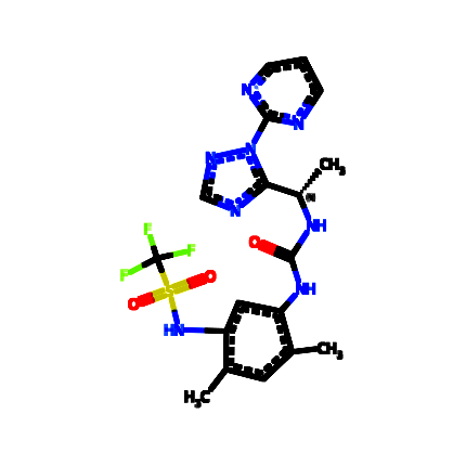 Cc1cc(C)c(NS(=O)(=O)C(F)(F)F)cc1NC(=O)N[C@@H](C)c1ncnn1-c1ncccn1